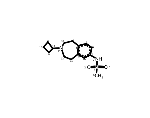 CS(=O)(=O)Nc1ccc2c(c1)CCN(C1CCC1)CC2